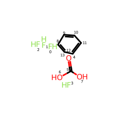 F.F.F.F.O=C(O)O.c1ccccc1